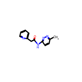 Cc1ccc(NC(=O)Cc2ccccn2)nn1